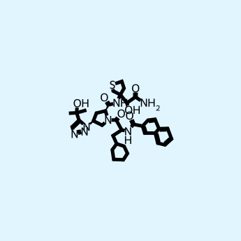 CC(C)(O)c1cnnn1[C@H]1C[C@@H](C(=O)NC2(C(O)C(N)=O)CCSC2)N(C(=O)C(CC2CCCCC2)NC(=O)c2ccc3ccccc3c2)C1